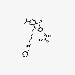 CC(C)c1ccc(C(=O)c2cccs2)c(SCCCCCCNCc2ccccc2)n1.O=C(O)C(=O)O